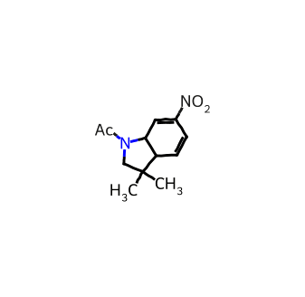 CC(=O)N1CC(C)(C)C2C=CC([N+](=O)[O-])=CC21